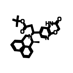 C[C@@H](c1ccccc1)N(Cc1ccccc1)C(CC(=O)OC(C)(C)C)c1cnc2c(c1)NC(=O)CO2